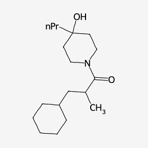 CCCC1(O)CCN(C(=O)C(C)CC2CCCCC2)CC1